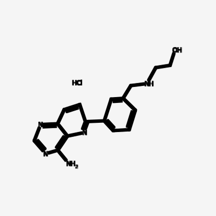 Cl.Nc1ncnc2ccc(-c3cccc(CNCCO)c3)nc12